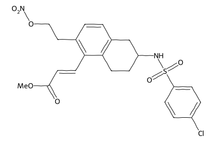 COC(=O)C=Cc1c(CCO[N+](=O)[O-])ccc2c1CCC(NS(=O)(=O)c1ccc(Cl)cc1)C2